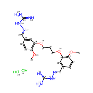 COc1ccc(C=NNC(=N)N)cc1OCCCOc1cc(C=NNC(=N)N)ccc1OC.Cl.Cl